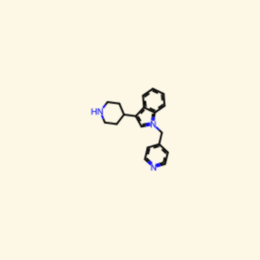 c1ccc2c(c1)c(C1CCNCC1)cn2Cc1ccncc1